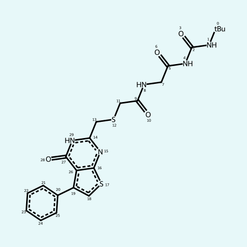 CC(C)(C)NC(=O)NC(=O)CNC(=O)CSCc1nc2scc(-c3ccccc3)c2c(=O)[nH]1